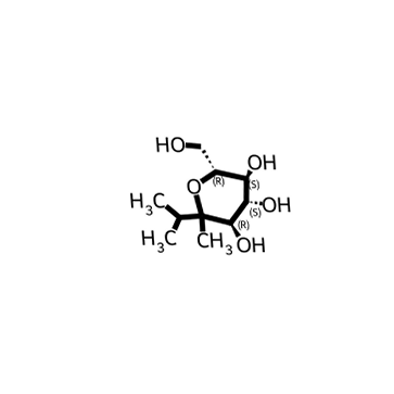 CC(C)C1(C)O[C@H](CO)[C@@H](O)[C@H](O)[C@H]1O